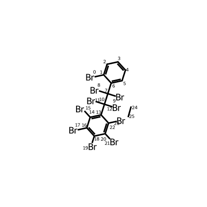 Brc1ccccc1C(Br)(Br)C(Br)(Br)c1c(Br)c(Br)c(Br)c(Br)c1Br.CC